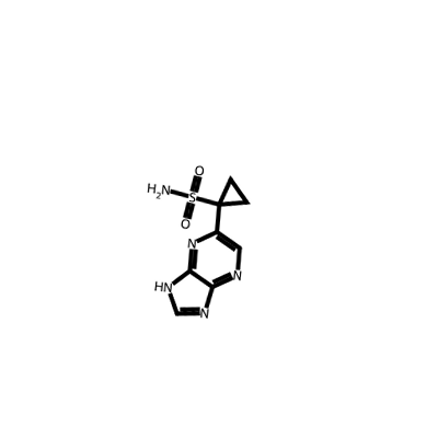 NS(=O)(=O)C1(c2cnc3nc[nH]c3n2)CC1